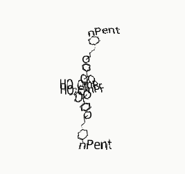 CCCCC[C@H]1CC[C@H](CCCOc2ccc(C(=O)O[C@@](CCC)(C(=O)O)[C@@](CCC)(OC(=O)c3ccc(OCCC[C@H]4CC[C@H](CCCCC)CC4)cc3)C(=O)O)cc2)CC1